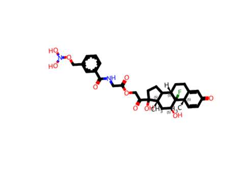 C[C@]12C=CC(=O)C=C1CC[C@H]1C3CCC(O)(C(=O)COC(=O)CNC(=O)c4cccc(CON(O)O)c4)[C@@]3(C)C[C@H](O)C12F